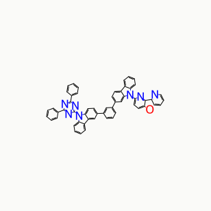 c1ccc(-c2nc(-c3ccccc3)nc(-n3c4ccccc4c4cc(-c5cccc(-c6ccc7c8ccccc8n(-c8ccc9oc%10cccnc%10c9n8)c7c6)c5)ccc43)n2)cc1